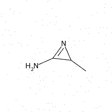 CC1N=C1N